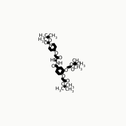 CC(C)(C)OC(=O)COc1ccc(C(=O)NNC(=O)COC2CCN(C(=O)OC(C)(C)C)CC2)cc1OCC(=O)OC(C)(C)C